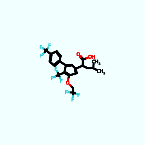 CC(C)CC(C(=O)O)c1cc(OCC(F)(F)F)c(C(F)(F)F)c(-c2ccc(C(F)(F)F)cc2)c1